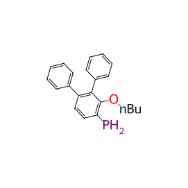 CCCCOc1c(P)ccc(-c2ccccc2)c1-c1ccccc1